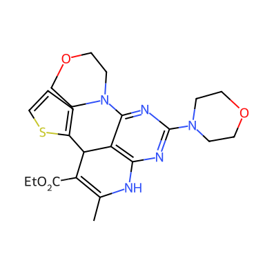 CCOC(=O)C1=C(C)Nc2nc(N3CCOCC3)nc(N3CCOCC3)c2C1c1cccs1